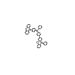 c1ccc(N(c2ccc(-c3ccc4c(c3)Oc3ccccc3N4c3ccccc3)cc2)c2ccc(N3c4ccccc4Sc4ccccc43)cc2)cc1